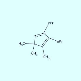 CCCC1=[C]C(C)(C)C(C)=C1CCC